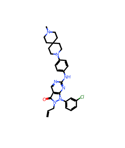 C=CCn1c(=O)c2cnc(Nc3ccc(N4CCC5(CCN(C)CC5)CC4)cc3)nc2n1-c1cccc(Cl)c1